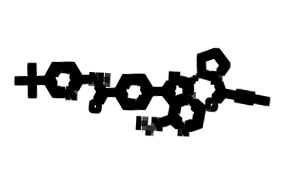 CC#CC(=O)N1CCC[C@H]1c1nc(-c2ccc(C(=O)Nc3ccc(C(C)(C)C)cn3)cc2)c2c(N)nccn12